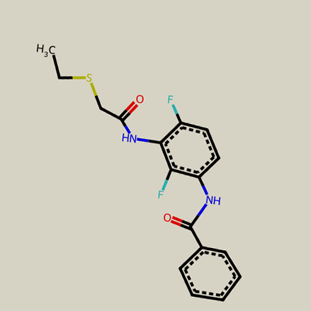 CCSCC(=O)Nc1c(F)ccc(NC(=O)c2ccccc2)c1F